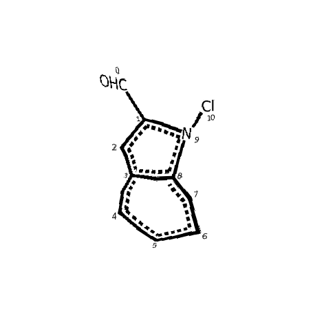 O=Cc1cc2ccccc2n1Cl